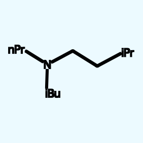 CCCN(CCC(C)C)C(C)CC